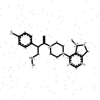 C=C(C(CNC(C)C)c1ccc(Cl)cc1)N1CCN(c2ncnc3c2[C@@H](C)OC3)CC1